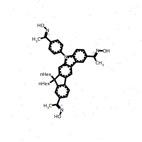 CCCCCCC1(CCCCCC)c2cc(/C(C)=N/O)ccc2-c2cc3c4cc(/C(C)=N/O)ccc4n(-c4ccc(/C(C)=N/O)cc4)c3cc21